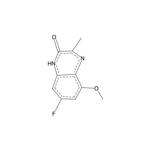 COc1cc(F)cc2[nH]c(=O)c(C)nc12